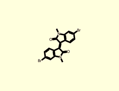 CN1C(=O)/C(=C2/C(=O)N(C)c3cc(Br)ccc32)c2ccc(Br)cc21